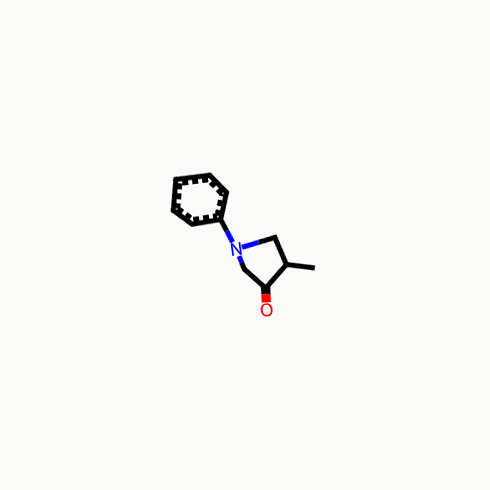 CC1CN(c2ccccc2)CC1=O